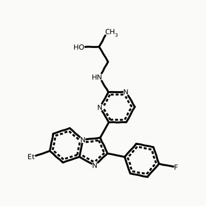 CCc1ccn2c(-c3ccnc(NCC(C)O)n3)c(-c3ccc(F)cc3)nc2c1